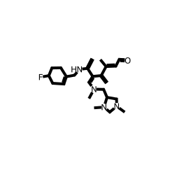 C=C(NCC1=CCC(F)CC1)/C(=C/N(C)CC1CN(C)CN1C)C(=C)/C(C)=C/C=O